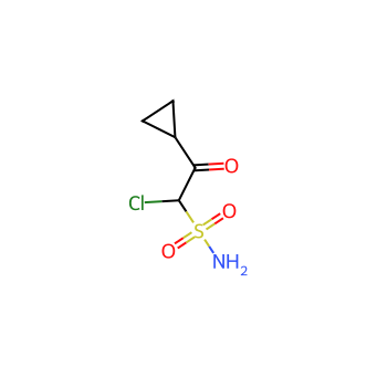 NS(=O)(=O)C(Cl)C(=O)C1CC1